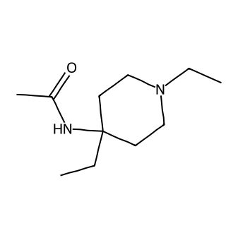 CCN1CCC(CC)(NC(C)=O)CC1